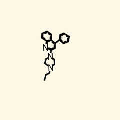 CCCN1CCN(c2cc(-c3ccccc3)c3ccccc3n2)CC1